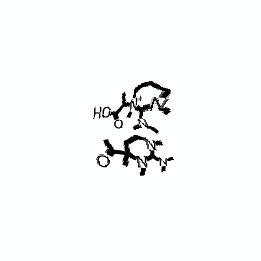 CC(=O)C1(C)C=CN(C)C(N(C)C)N1C.CC(C(=O)O)[N+]1(C)C=CCN(C)C1N(C)C